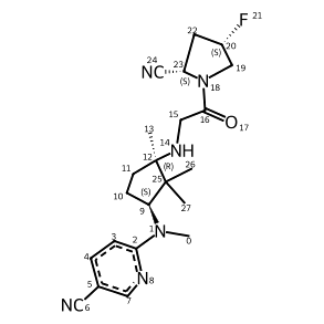 CN(c1ccc(C#N)cn1)[C@H]1CC[C@@](C)(NCC(=O)N2C[C@@H](F)C[C@H]2C#N)C1(C)C